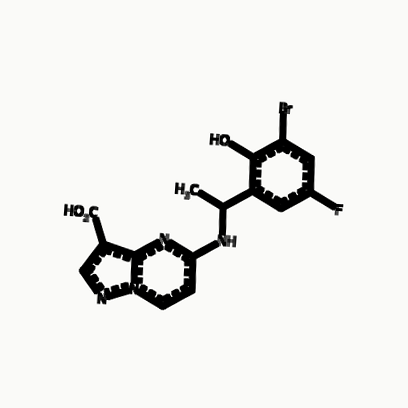 CC(Nc1ccn2ncc(C(=O)O)c2n1)c1cc(F)cc(Br)c1O